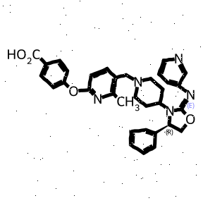 Cc1nc(Oc2ccc(C(=O)O)cc2)ccc1CN1CCC(N2/C(=N\c3cccnc3)OC[C@H]2c2ccccc2)CC1